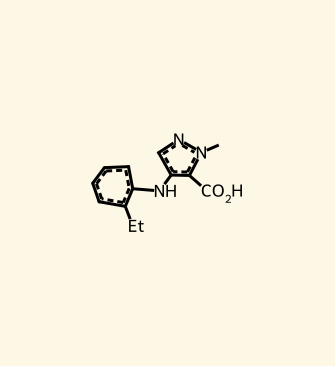 CCc1ccccc1Nc1cnn(C)c1C(=O)O